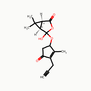 C#CCC1=C(C)C(OC2(O)OC(=O)[C@H]3[C@@H]2C3(C)C)CC1=O